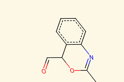 CC1=Nc2ccccc2C(C=O)O1